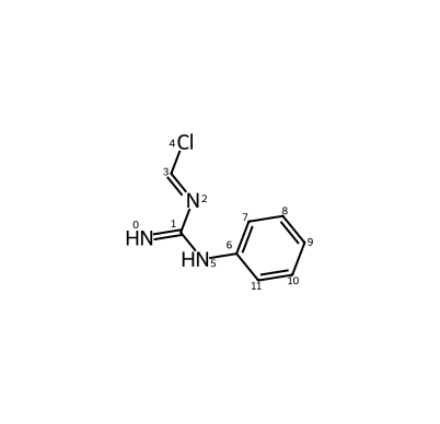 N=C(/N=C/Cl)Nc1ccccc1